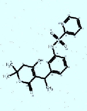 CC(C1=C(O)CC(C)(C)OC1=O)c1cccc(NS(=O)(=O)c2ccccn2)c1